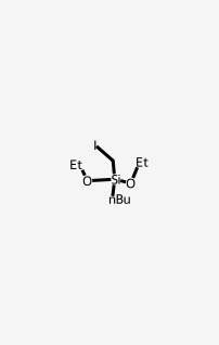 CCCC[Si](CI)(OCC)OCC